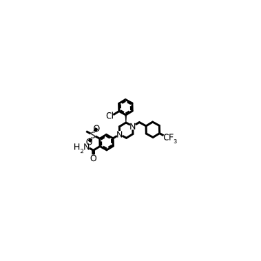 CS(=O)(=O)c1cc(N2CCN(CC3CCC(C(F)(F)F)CC3)[C@H](c3ccccc3Cl)C2)ccc1C(N)=O